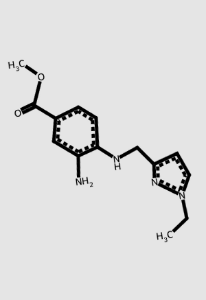 CCn1ccc(CNc2ccc(C(=O)OC)cc2N)n1